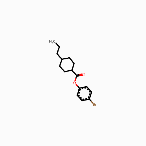 CCCC1CCC(C(=O)Oc2ccc(Br)cc2)CC1